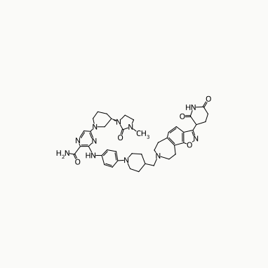 CN1CCN([C@@H]2CCCN(c3cnc(C(N)=O)c(Nc4ccc(N5CCC(CN6CCc7ccc8c(C9CCC(=O)NC9=O)noc8c7CC6)CC5)cc4)n3)C2)C1=O